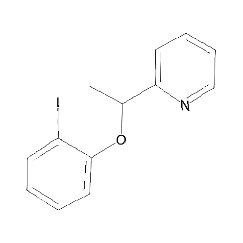 CC(Oc1ccccc1I)c1ccccn1